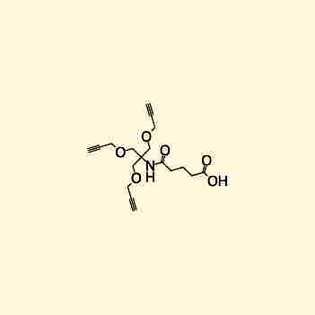 C#CCOCC(COCC#C)(COCC#C)NC(=O)CCCC(=O)O